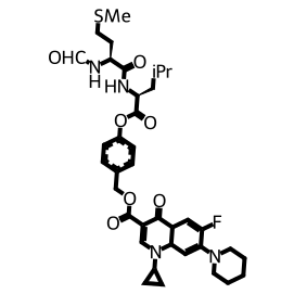 CSCC[C@H](NC=O)C(=O)N[C@@H](CC(C)C)C(=O)Oc1ccc(COC(=O)C2=CN(C3CC3)C3C=C(N4CCCCC4)C(F)=CC3C2=O)cc1